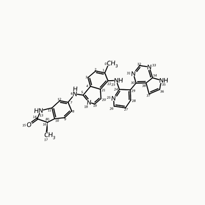 Cc1ccc2c(Nc3ccc4c(c3)NC(=O)[C@@H]4C)nccc2c1Nc1ncccc1-c1ncnc2[nH]ccc12